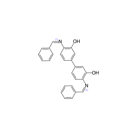 Oc1cc(-c2ccc(/N=C\c3ccccc3)c(O)c2)ccc1/N=C\c1ccccc1